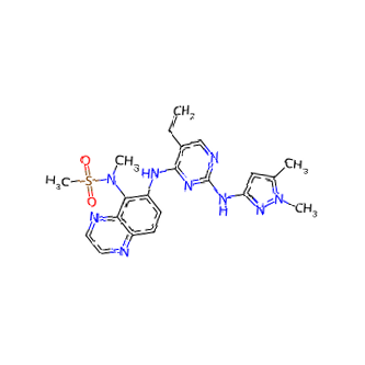 C=Cc1cnc(Nc2cc(C)n(C)n2)nc1Nc1ccc2nccnc2c1N(C)S(C)(=O)=O